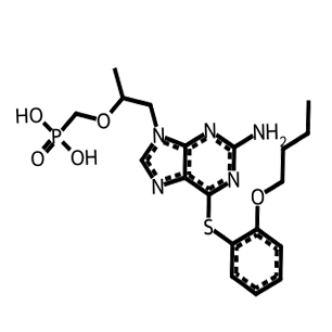 CCCCOc1ccccc1Sc1nc(N)nc2c1ncn2CC(C)OCP(=O)(O)O